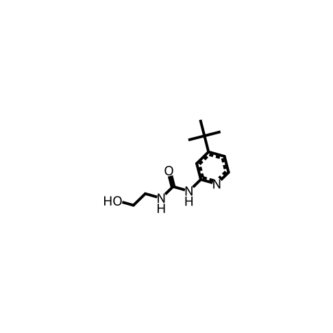 CC(C)(C)c1ccnc(NC(=O)NCCO)c1